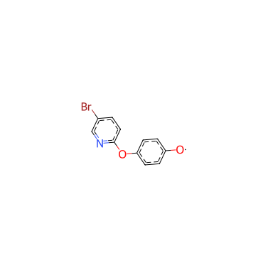 [O]c1ccc(Oc2ccc(Br)cn2)cc1